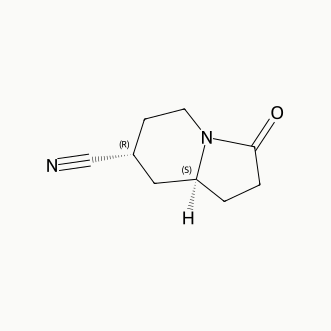 N#C[C@@H]1CCN2C(=O)CC[C@H]2C1